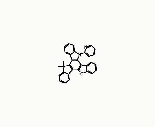 CC1(C)c2ccccc2-c2c1c1c3ccccc3n(-c3ccccn3)c1c1c2oc2ccccc21